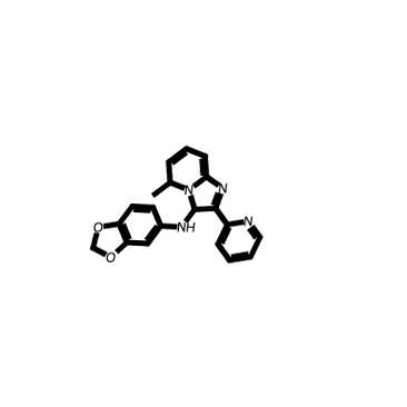 CC1C=CC=C2N=C(c3ccccn3)C(Nc3ccc4c(c3)OCO4)N21